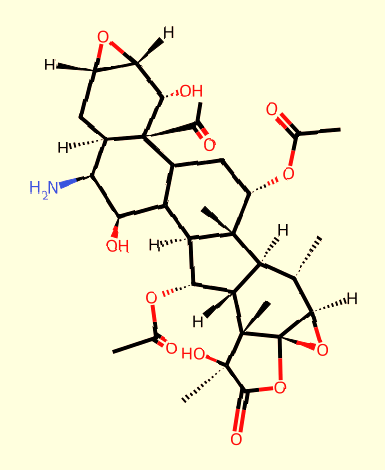 CC(=O)O[C@H]1[C@@H]2[C@H]([C@H](C)[C@H]3O[C@]34OC(=O)[C@@](C)(O)[C@]24C)[C@@]2(C)[C@@H](OC(C)=O)CC3C([C@@H](O)[C@@H](N)[C@H]4C[C@@H]5O[C@@H]5[C@H](O)[C@]34C(C)=O)[C@H]12